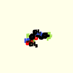 C[C@@H](NC(=O)c1ccc2cc(C(F)(F)F)ccc2n1)c1cc(F)c(NS(C)(=O)=O)c(F)c1